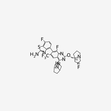 Nc1nc2c(-c3c(C(F)(F)F)cc4c(N5CC6CCC(C5)N6)nc(OC[C@@]56CCCN5C[C@H](F)C6)nc4c3F)ccc(F)c2s1